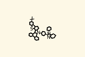 CC(C)(C)c1ccc2sc3c(ccc4c3c3c5ccccc5c5ccccc5c3n4-c3ccc(-c4nc5ccccc5n4-c4ccccc4)cc3)c2c1